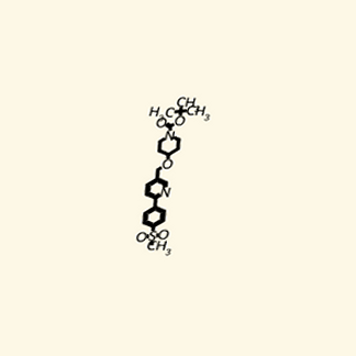 CC(C)(C)OC(=O)N1CCC(OCc2ccc(-c3ccc(S(C)(=O)=O)cc3)nc2)CC1